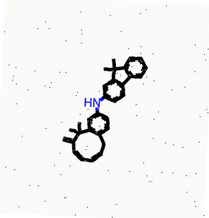 C=C1/C=C\C=C/Cc2ccc(Nc3ccc4c(c3)C(C)(C)c3ccccc3-4)cc2C1(C)C